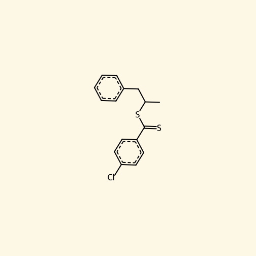 CC(Cc1ccccc1)SC(=S)c1ccc(Cl)cc1